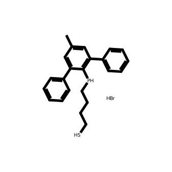 Br.Cc1cc(-c2ccccc2)c(PCCCCS)c(-c2ccccc2)c1